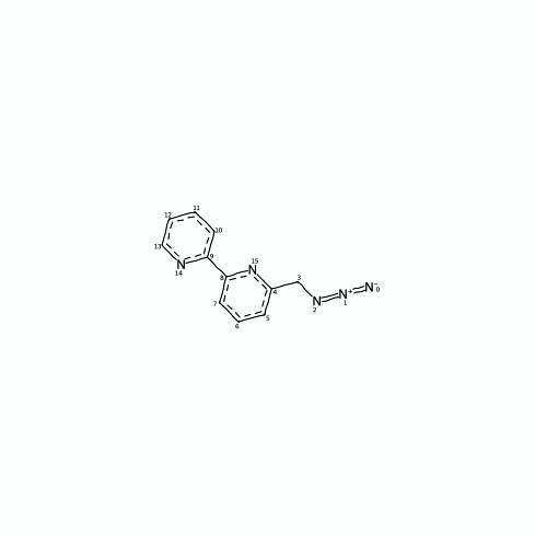 [N-]=[N+]=NCc1cccc(-c2ccccn2)n1